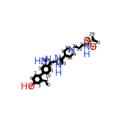 CCc1cc(O)ccc1-c1ccc2c(-c3nc(C4=CCN(CCCNS(=O)(=O)C(C)C)CC4)c[nH]3)n[nH]c2c1